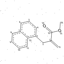 C=C(Cc1cccc2ccccc12)C(=O)OC